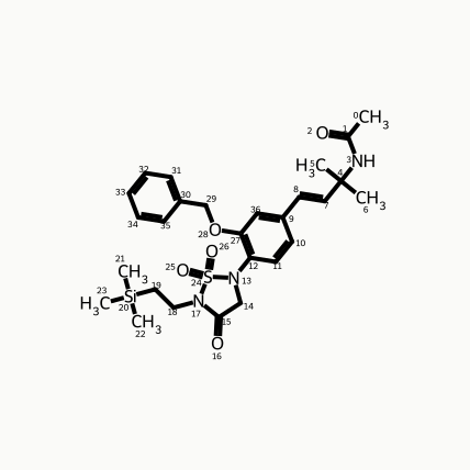 CC(=O)NC(C)(C)/C=C/c1ccc(N2CC(=O)N(CC[Si](C)(C)C)S2(=O)=O)c(OCc2ccccc2)c1